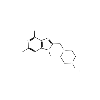 CN1CCN(Cc2nc3c(Cl)nc(Cl)cc3n2C)CC1